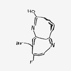 Oc1ccc2ncc(F)c(Br)c2n1